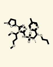 CCCO[C@@H](c1ncc(C)cn1)[C@H](C)S(=O)(=O)Nc1nnc([C@@H]2CC[C@H](C)O2)n1C(CCOC)OC